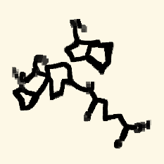 CN(C)C1(c2cccs2)CCC(NC(=O)CCCC(=O)O)CC1.NC1CCc2ccccc21